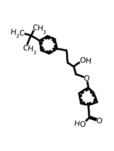 CC(C)(C)c1ccc(CCC(O)COc2ccc(C(=O)O)cc2)cc1